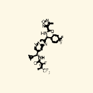 Cc1nonc1C(=O)N[C@H](c1cn2ncc([C@H](NC(=O)[C@@H](F)[C@@H](C)C(F)(F)F)C3CC3)cc2n1)C1CCC(F)(F)CC1